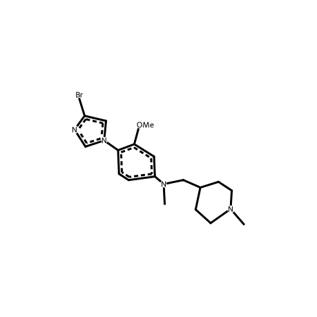 COc1cc(N(C)CC2CCN(C)CC2)ccc1-n1cnc(Br)c1